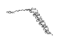 CCCCCCCCCCCCCCCCCCC[SiH](C)O[SiH2]O[SiH2]O[SiH2]O[SiH2]O[SiH2]O[SiH2]O[SiH2]O[SiH3]